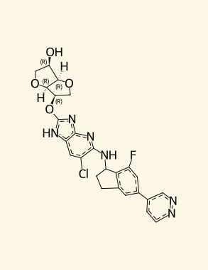 O[C@@H]1CO[C@H]2[C@@H]1OC[C@H]2Oc1nc2nc(NC3CCc4cc(-c5ccnnc5)cc(F)c43)c(Cl)cc2[nH]1